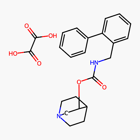 O=C(NCc1ccccc1-c1ccccc1)OC1CN2CCC1CC2.O=C(O)C(=O)O